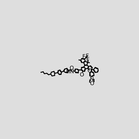 CCCCCC1CCC(c2ccc(-c3ccc(C(=O)Nc4ccc(-c5cc6c7c(c8c(c6cc5OC)OC(c5ccccc5)(c5ccc(N6CCOCC6)cc5)C=C8)C(C)(C)c5c-7cc(C)cc5C(F)(F)F)cc4)cc3)cc2)CC1